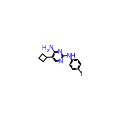 Nc1nc(Nc2ccc(I)cc2)ncc1C1CCC1